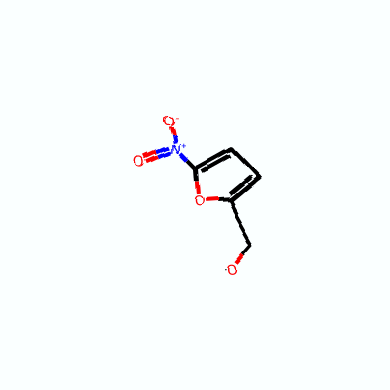 [O]Cc1ccc([N+](=O)[O-])o1